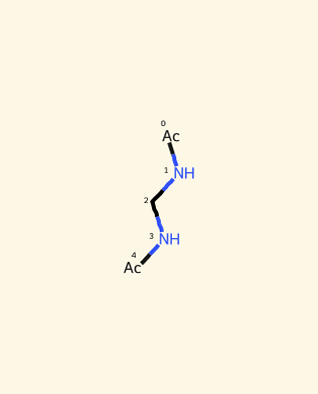 CC(=O)NCNC(C)=O